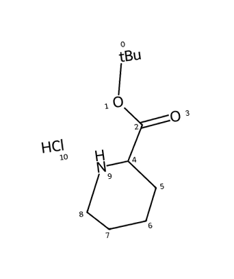 CC(C)(C)OC(=O)C1CCCCN1.Cl